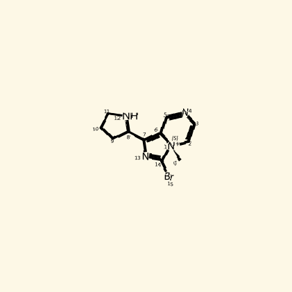 C[N@+]12C=CN=CC1=C(C1CCCN1)N=C2Br